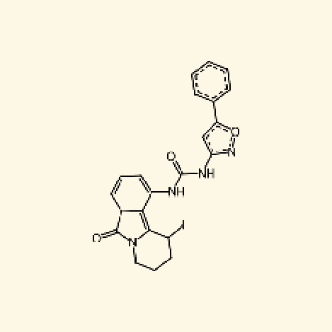 O=C(NC1=CC=CC2C(=O)N3CCCC(I)C3=C12)Nc1cc(-c2ccccc2)on1